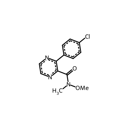 CON(C)C(=O)c1nccnc1-c1ccc(Cl)cc1